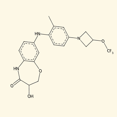 Cc1cc(N2CC(OC(F)(F)F)C2)ccc1Nc1ccc2c(c1)OCC(O)C(=O)N2